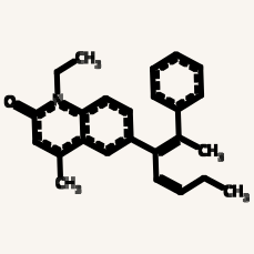 CC/C=C\C(=C(/C)c1ccccc1)c1ccc2c(c1)c(C)cc(=O)n2CC